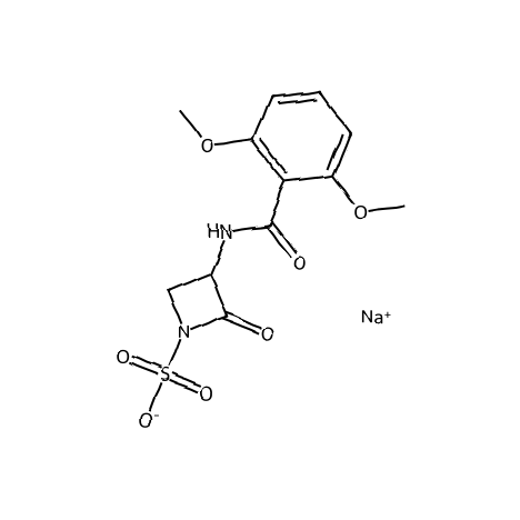 COc1cccc(OC)c1C(=O)NC1CN(S(=O)(=O)[O-])C1=O.[Na+]